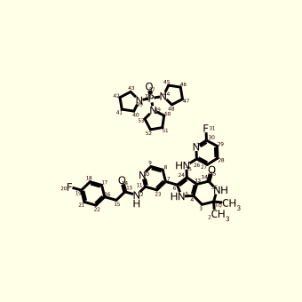 CC1(C)Cc2[nH]c(-c3ccnc(NC(=O)Cc4ccc(F)cc4)c3)c(Nc3cccc(F)n3)c2C(=O)N1.O=P(N1CCCC1)(N1CCCC1)N1CCCC1